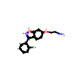 NCCOc1ccc2c(-c3ccccc3F)noc2c1